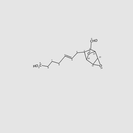 O=CC1C(CC=CCCCC(=O)O)C2OC1C1OC21